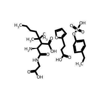 CCCCC(C)(C)C(C(=O)O)[C@H](N)C(=O)NCC(=O)O.CCc1ccc(OS(=O)(=O)O)cc1.O=C(O)CCc1ccco1